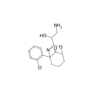 NCC(O)C1=NC2(c3ccccc3Cl)CCCC(O1)C2=O